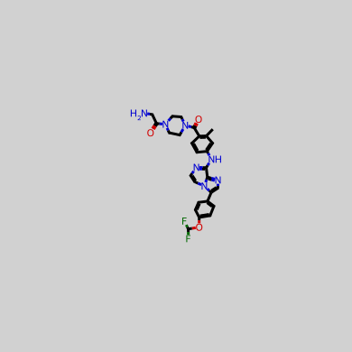 Cc1cc(Nc2nccn3c(-c4ccc(OC(F)F)cc4)cnc23)ccc1C(=O)N1CCN(C(=O)CN)CC1